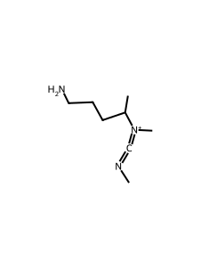 CN=C=[N+](C)C(C)CCCN